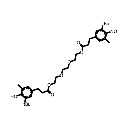 Cc1cc(CCC(=O)OCCOCCOCCOC(=O)CCc2cc(C)c(N=O)c(C(C)(C)C)c2)cc(C(C)(C)C)c1O